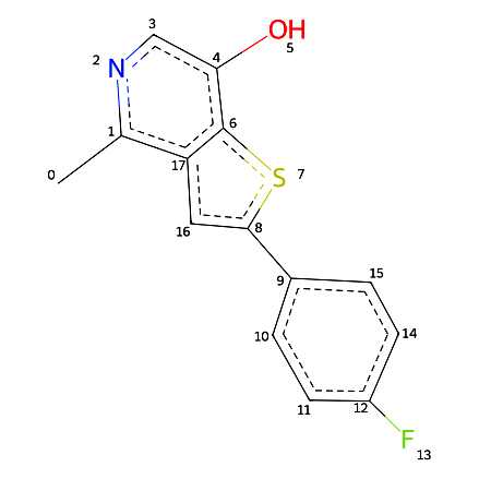 Cc1ncc(O)c2sc(-c3ccc(F)cc3)cc12